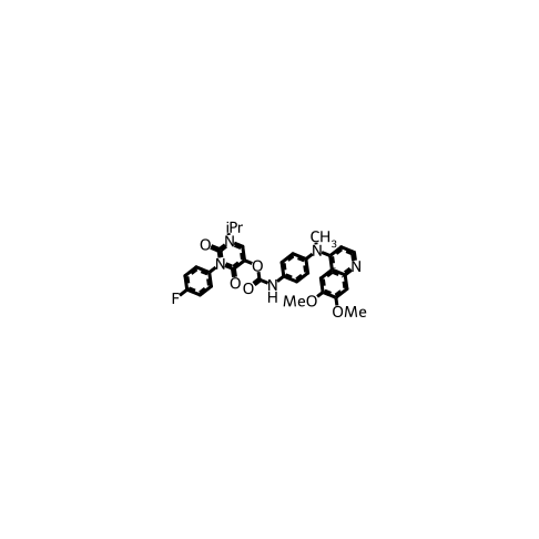 COc1cc2nccc(N(C)c3ccc(NC(=O)Oc4cn(C(C)C)c(=O)n(-c5ccc(F)cc5)c4=O)cc3)c2cc1OC